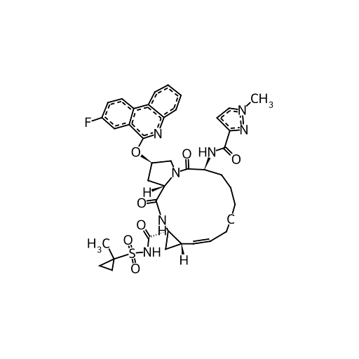 Cn1ccc(C(=O)N[C@H]2CCCCC/C=C\[C@@H]3C[C@@]3(C(=O)NS(=O)(=O)C3(C)CC3)NC(=O)[C@@H]3C[C@@H](Oc4nc5ccccc5c5ccc(F)cc45)CN3C2=O)n1